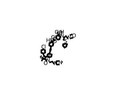 Cc1c(C(=O)NCCCN2CCN(C)CC2)c(-c2cccc(C#Cc3ccc(NS(=O)(=O)c4ccc(NC(CCN5CCOCC5)CSc5ccccc5)c([N+](=O)[O-])c4)cc3)c2)c(-c2ccc(Cl)cc2)n1C